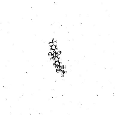 CC(C)(C)c1ccc(N2C(=O)N(Cc3ccnc(NC(=O)N4CC4)c3)C(C)(C)C2=O)cc1